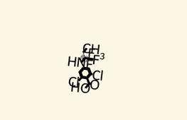 CC[C@@H](Nc1cc(Cl)c(C(=O)O)c(Cl)c1)C(F)(F)F